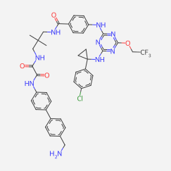 CC(C)(CNC(=O)C(=O)Nc1ccc(-c2ccc(CN)cc2)cc1)CNC(=O)c1ccc(Nc2nc(NC3(c4ccc(Cl)cc4)CC3)nc(OCC(F)(F)F)n2)cc1